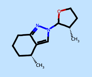 C[C@@H]1CCCc2nn(C3OCC[C@@H]3C)cc21